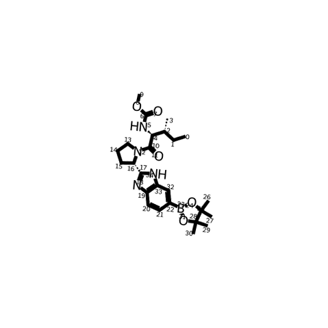 CC[C@@H](C)[C@@H](NC(=O)OC)C(=O)N1CCC[C@H]1c1nc2ccc(B3OC(C)(C)C(C)(C)O3)cc2[nH]1